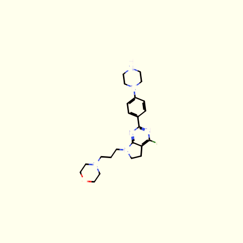 Clc1nc(-c2ccc(N3CCNCC3)cc2)nc2c1CCN2CCCN1CCOCC1